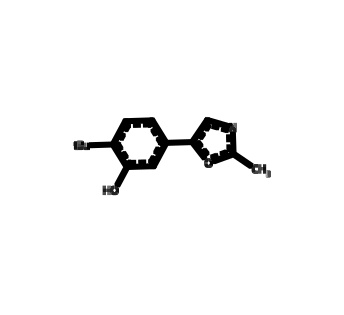 Cc1ncc(-c2ccc(C(C)(C)C)c(O)c2)o1